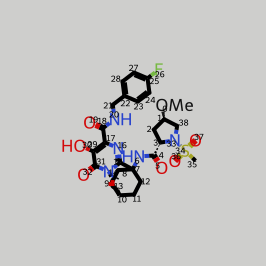 CO[C@@H]1C[C@@H](C(=O)NC23CCC(CC2)Cn2c3nc(C(=O)NCc3ccc(F)cc3)c(O)c2=O)N(S(C)(=O)=O)C1